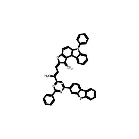 C=c1c2c(o/c1=C/C=C(\C)c1nc(-c3ccccc3)nc(-c3ccc4c(c3)sc3ccccc34)n1)C=CC1C2c2ccccc2N1c1ccccc1